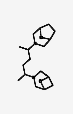 CC(CCC(C)N1CC2CC(C1)O2)N1CC2CCC(C1)O2